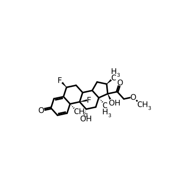 COCC(=O)[C@@]1(O)[C@H](C)CC2C3C[C@H](F)C4=CC(=O)C=C[C@]4(C)[C@@]3(F)[C@@H](O)C[C@@]21C